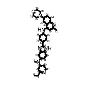 CCc1cc(N(C)c2ccc3[nH]c(-c4ccc(Nc5cc(C)nc6ccc(N7CCOCC7)cc56)cc4)nc3c2)ccn1